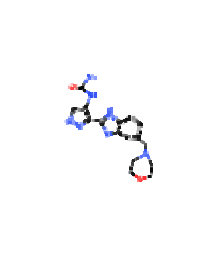 NC(=O)Nc1c[nH]nc1-c1nc2cc(CN3CCOCC3)ccc2[nH]1